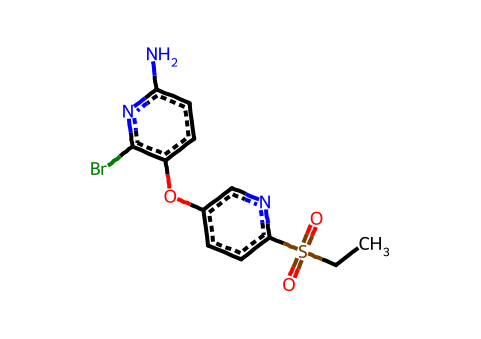 CCS(=O)(=O)c1ccc(Oc2ccc(N)nc2Br)cn1